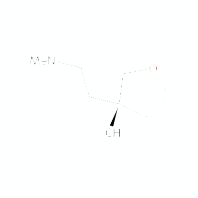 CNCC[C@@]1(C)CCOC1